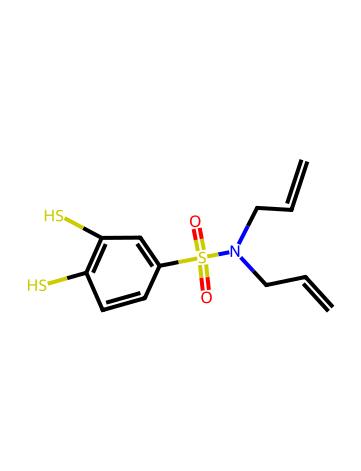 C=CCN(CC=C)S(=O)(=O)c1ccc(S)c(S)c1